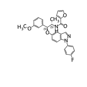 COc1cccc([C@H](Oc2ccc3c(cnn3-c3ccc(F)cc3)c2)[C@H](C)NC(=O)c2ccco2)c1